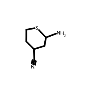 N#CC1CCSC(N)C1